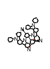 N#Cc1cc(C#N)cc(-c2c(-n3c4ccccc4c4ccc5c(c6ccccc6n5-c5ccccc5)c43)cc(C#N)cc2-n2c3ccccc3c3ccc4c(c5ccccc5n4-c4ccccc4)c32)c1